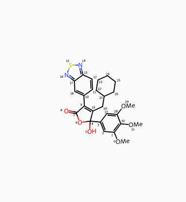 COc1cc(C2(O)OC(=O)C(c3ccc4nsnc4c3)=C2CC2CCCCC2)cc(OC)c1OC